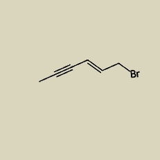 CC#C/C=C/CBr